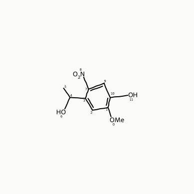 COc1cc(C(C)O)c([N+](=O)[O-])cc1O